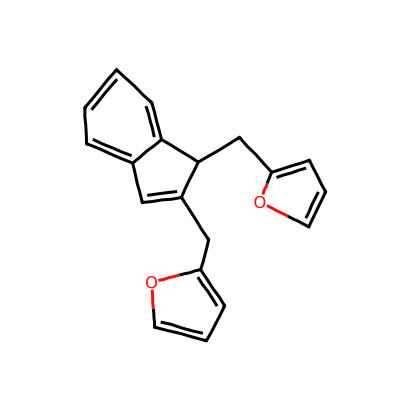 C1=C(Cc2ccco2)C(Cc2ccco2)c2ccccc21